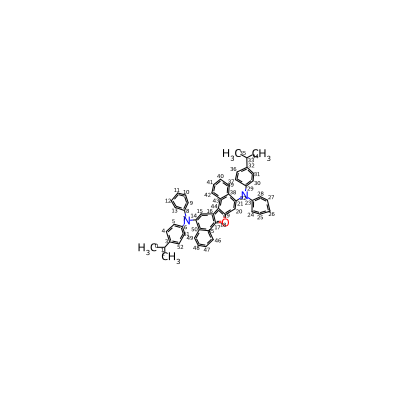 CC(C)c1ccc(N(c2ccccc2)c2cc3c(oc4cc(N(c5ccccc5)c5ccc(C(C)C)cc5)c5ccccc5c43)c3ccccc23)cc1